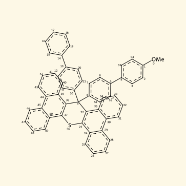 COc1ccc(-c2ccc(C3(c4ccc(-c5ccccc5)cc4)c4c(c5ccccc5c5ccccc45)Sc4c3c3ccccc3c3ccccc43)cc2)cc1